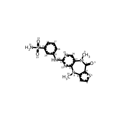 CN1C(=O)c2sccc2N(C)c2nc(Nc3cccc(S(N)(=O)=O)c3)ncc21